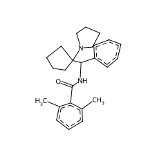 Cc1cccc(C)c1C(=O)NC(c1ccccc1)C1(N2CCCC2)CCCC1